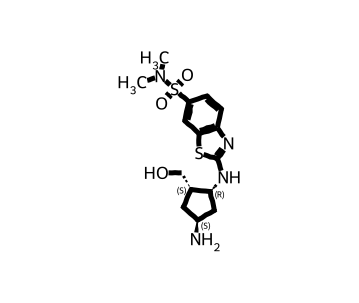 CN(C)S(=O)(=O)c1ccc2nc(N[C@@H]3C[C@@H](N)C[C@@H]3CO)sc2c1